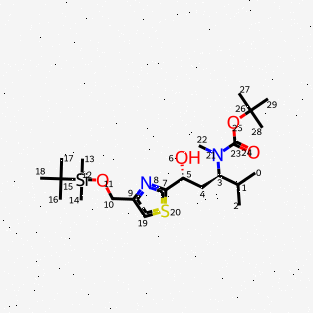 CC(C)[C@@H](C[C@@H](O)c1nc(CO[Si](C)(C)C(C)(C)C)cs1)N(C)C(=O)OC(C)(C)C